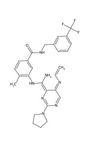 C=C/N=C1/C=NC(N2CCCC2)=N/C1=C(/N)Nc1cc(C(=O)NCc2cccc(C(F)(F)F)c2)ccc1C